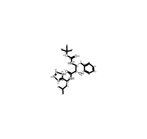 CC(C)C[C@H](NC(=O)[C@@H](O)[C@@H](Cc1ccccc1)NC(=O)OC(C)(C)C)c1nnn[nH]1